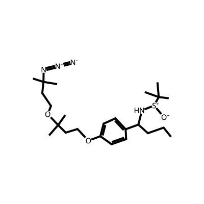 CCCC(N[S+]([O-])C(C)(C)C)c1ccc(OCCC(C)(C)OCCC(C)(C)N=[N+]=[N-])cc1